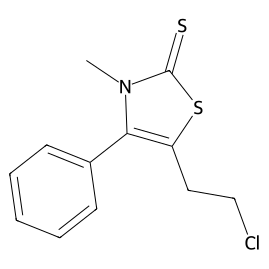 Cn1c(-c2ccccc2)c(CCCl)sc1=S